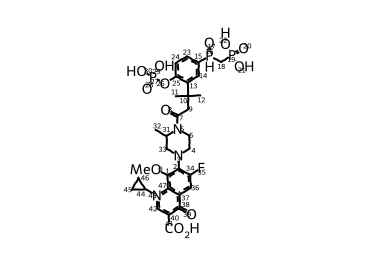 COc1c(N2CCN(C(=O)CC(C)(C)c3cc([PH](=O)CP(=O)(O)O)ccc3OP(=O)(O)O)C(C)C2)c(F)cc2c(=O)c(C(=O)O)cn(C3CC3)c12